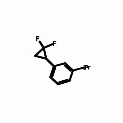 CC(C)c1cccc(C2CC2(F)F)c1